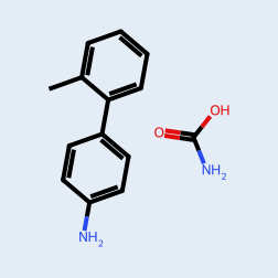 Cc1ccccc1-c1ccc(N)cc1.NC(=O)O